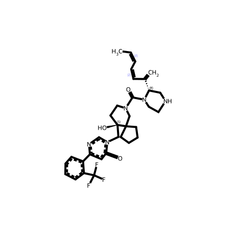 C=C(/C=C\C=C/C)[C@@H]1CNCCN1C(=O)N1CC[C@@](O)(Cn2cnc(-c3ccccc3C(F)(F)F)cc2=O)C2(CCCC2)C1